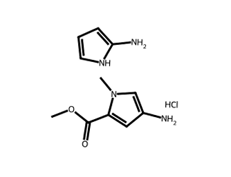 COC(=O)c1cc(N)cn1C.Cl.Nc1ccc[nH]1